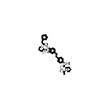 CC(=O)N1CCC[C@H]1C(=O)Nc1ccc(CCc2ccc3nc([C@@H]4CCCN4C(=O)Cc4ccccc4)[nH]c3c2)cc1